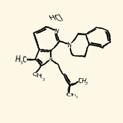 CC(C)=CCn1c(C)c(C)c2ccnc(N3CCc4ccccc4C3)c21.Cl